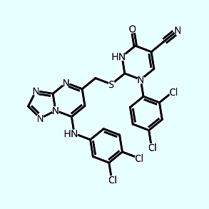 N#CC1=CN(c2ccc(Cl)cc2Cl)C(SCc2cc(Nc3ccc(Cl)c(Cl)c3)n3ncnc3n2)NC1=O